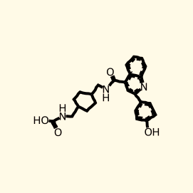 O=C(O)NCC1CCC(CNC(=O)c2cc(-c3ccc(O)cc3)nc3ccccc23)CC1